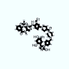 CCOc1cc(N2CCC(C(=O)N3CCN(Cc4ccc(-n5c(O)nnc5-c5cc(C(C)C)c(O)cc5O)cc4)CC3)CC2)ccc1Nc1ncc2c(n1)N(S(C)(=O)=O)c1ccccc1C(=O)N2C